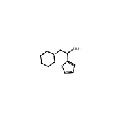 O=C(O)C(CN1CCCCC1)c1cccs1